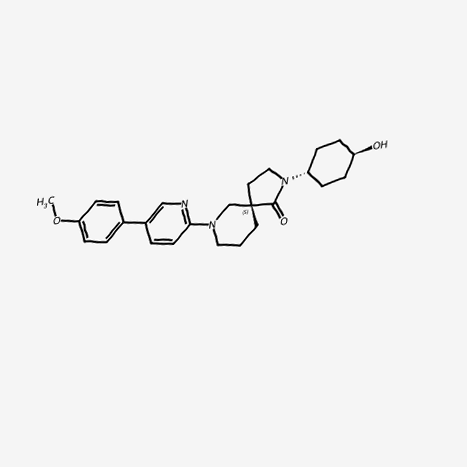 COc1ccc(-c2ccc(N3CCC[C@]4(CCN([C@H]5CC[C@H](O)CC5)C4=O)C3)nc2)cc1